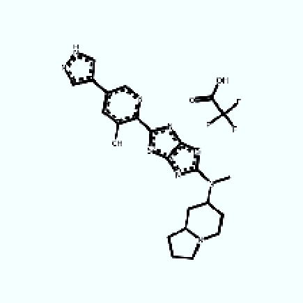 CN(c1nc2sc(-c3ncc(-c4cn[nH]c4)cc3O)nc2s1)C1CCN2CCCC2C1.O=C(O)C(F)(F)F